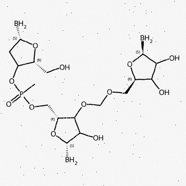 B[C@@H]1O[C@H](COCOC2C(O)[C@H](B)O[C@@H]2COP(C)(=O)OC2C[C@H](B)O[C@@H]2CO)C(O)C1O